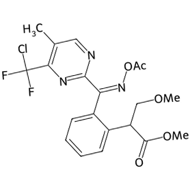 COCC(C(=O)OC)c1ccccc1C(=NOC(C)=O)c1ncc(C)c(C(F)(F)Cl)n1